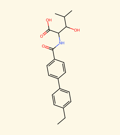 CCc1ccc(-c2ccc(C(=O)NC(C(=O)O)C(O)C(C)C)cc2)cc1